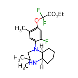 CCOC(=O)C(F)(F)Oc1cc(F)c(N2CC(C)(C)N[C@@H]3CCCC[C@@H]32)cc1C